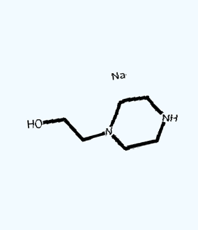 OCCN1CCNCC1.[Na]